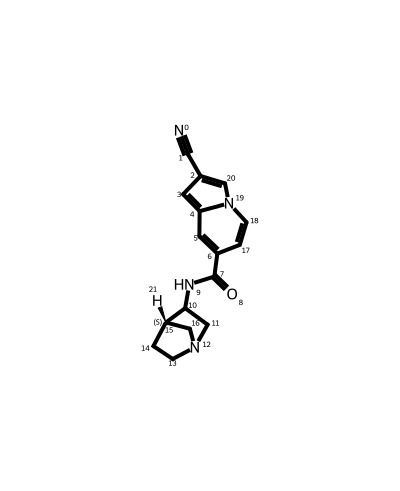 N#Cc1cc2cc(C(=O)NC3CN4CC[C@H]3C4)ccn2c1